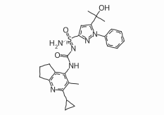 Cc1c(C2CC2)nc2c(c1NC(=O)N=[S@@](N)(=O)c1cc(C(C)(C)O)n(-c3ccccc3)n1)CCC2